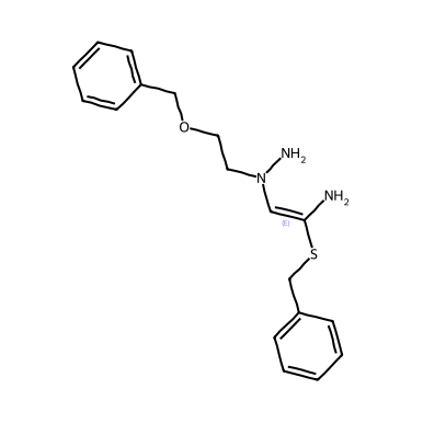 N/C(=C\N(N)CCOCc1ccccc1)SCc1ccccc1